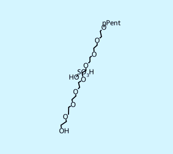 CCCCCOCCOCCOCCOCCOCCOCCOCCOCCO.O=S(=O)(O)O